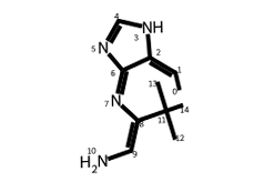 C/C=C1/NC=N/C1=N/C(=C\N)C(C)(C)C